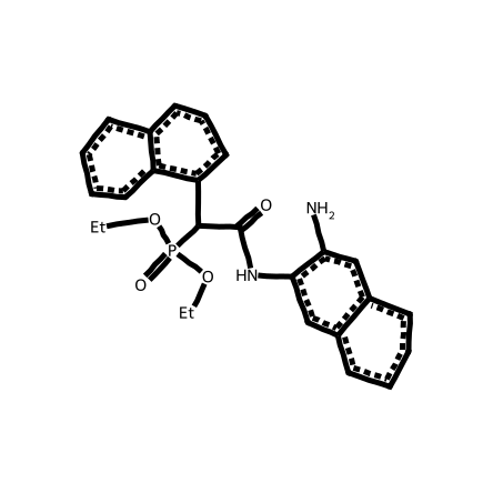 CCOP(=O)(OCC)C(C(=O)Nc1cc2ccccc2cc1N)c1cccc2ccccc12